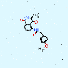 C=C1NC(=O)c2cccc(NC(=O)Cc3ccc(OC)cc3)c2C1=O